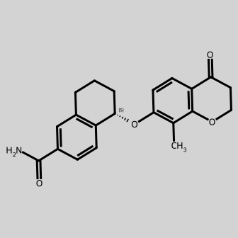 Cc1c(O[C@H]2CCCc3cc(C(N)=O)ccc32)ccc2c1OCCC2=O